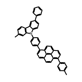 Cc1ccc(-c2ccc3ccc4c(-c5ccc(-n6c7ccc(-c8ccccc8)cc7c7ccc(C)cc76)cc5)ccc5ccc2c3c54)cc1